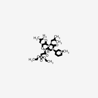 CCOP(=O)(CC(=O)N1O[C@H](CC(C)C)C(=O)N2[C@@H]1CN(C1CCCN(C)C1)C(=O)[C@@H]2CC(C)C)OCC